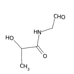 CC(O)C(=O)NCC=O